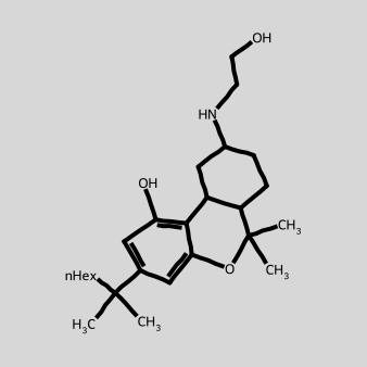 CCCCCCC(C)(C)c1cc(O)c2c(c1)OC(C)(C)C1CCC(NCCO)CC21